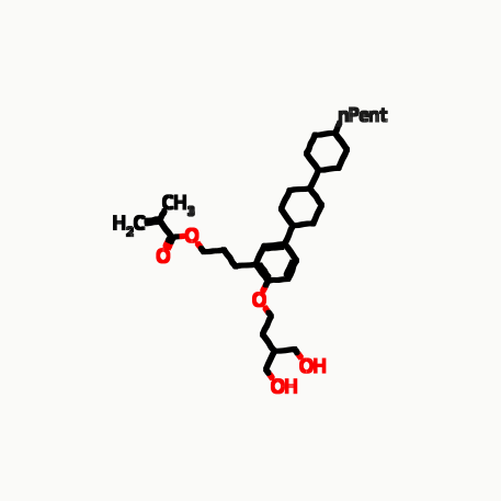 C=C(C)C(=O)OCCCc1cc(C2CCC(C3CCC(CCCCC)CC3)CC2)ccc1OCCC(CO)CO